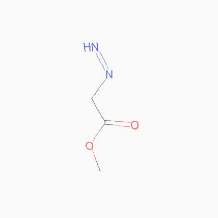 COC(=O)CN=N